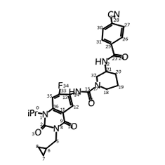 CC(C)n1c(=O)n(CC2CC2)c(=O)c2cc(NC(=O)N3CCCC(NC(=O)c4ccc(C#N)cc4)C3)c(F)cc21